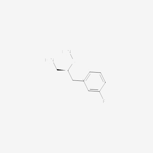 NC[C@H](Cc1cccc(F)c1)SN